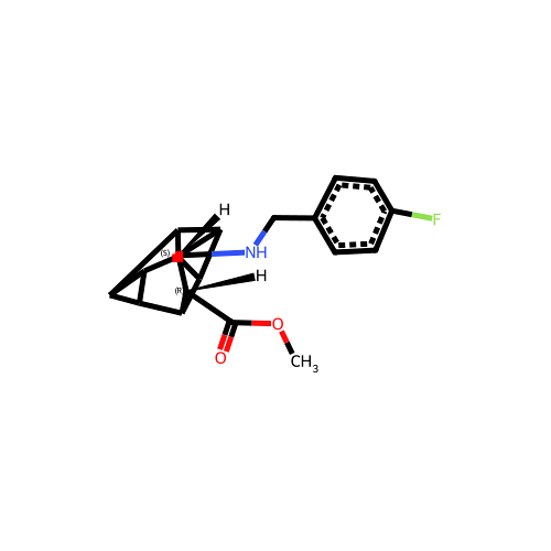 COC(=O)[C@@H]1C2C3C4C5C2C5C(C43)[C@@H]1NCc1ccc(F)cc1